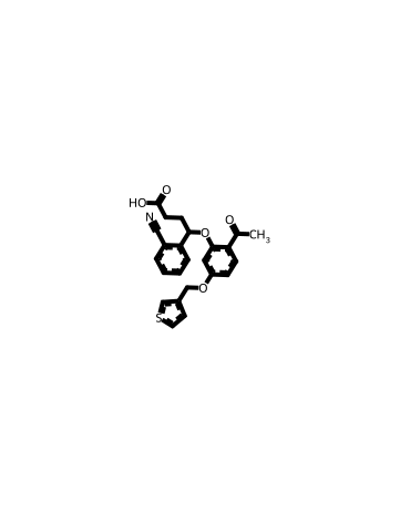 CC(=O)c1ccc(OCc2ccsc2)cc1OC(CCC(=O)O)c1ccccc1C#N